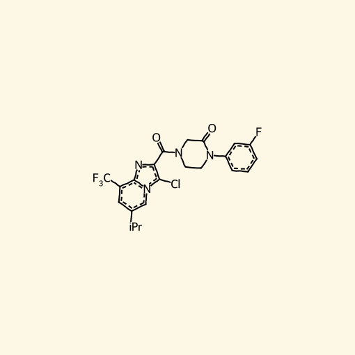 CC(C)c1cc(C(F)(F)F)c2nc(C(=O)N3CCN(c4cccc(F)c4)C(=O)C3)c(Cl)n2c1